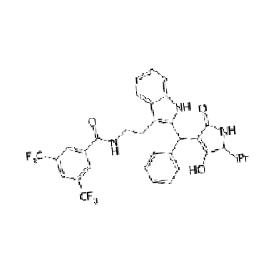 CC(C)C1NC(=O)C(C(c2ccccc2)c2[nH]c3ccccc3c2CCNC(=O)c2cc(C(F)(F)F)cc(C(F)(F)F)c2)=C1O